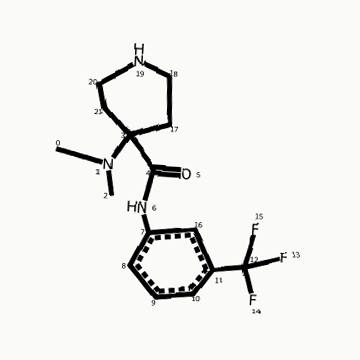 CN(C)C1(C(=O)Nc2cccc(C(F)(F)F)c2)CCNCC1